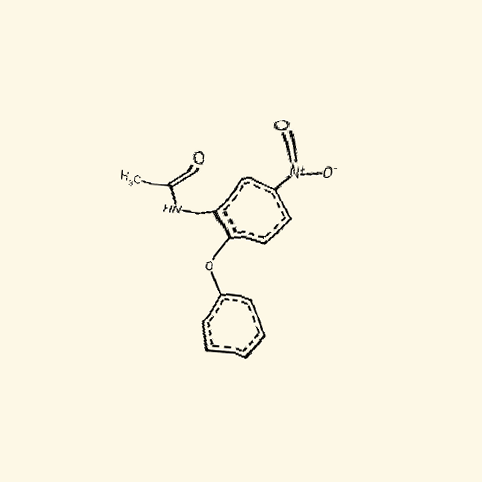 CC(=O)Nc1cc([N+](=O)[O-])ccc1Oc1ccccc1